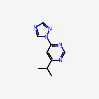 CC(C)c1cc(-n2cncn2)ncn1